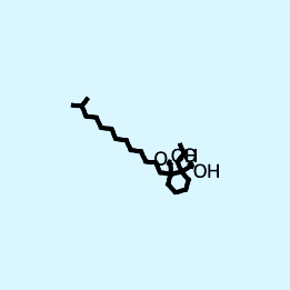 CCCC1(C(=O)O)CCCCC1(CCCCCCCCCCCC(C)C)C(=O)O